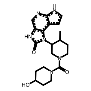 CC1CCN(C(=O)N2CCC(O)CC2)CC1n1c(=O)[nH]c2cnc3[nH]ccc3c21